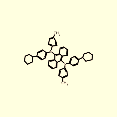 Cc1ccc(N(c2ccc(C3CCCCC3)cc2)c2c3ccccc3c(N(c3ccc(C)cc3)c3ccc(C4CCCCC4)cc3)c3ccccc23)cc1